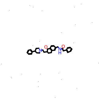 O=C(Cc1ccccc1)NCc1ccc2c(c1)CCC(CCN1CCC(c3ccccc3)CC1)C2=O